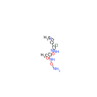 Cc1ccc(Oc2nc3cc(-c4ccc5c(ccn5C)c4)c(Cl)cc3[nH]2)cc1C(=O)NCCOCCN